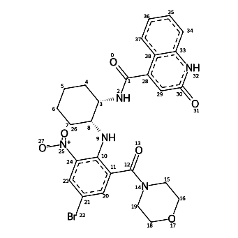 O=C(N[C@H]1CCCC[C@H]1Nc1c(C(=O)N2CCOCC2)cc(Br)cc1[N+](=O)[O-])c1cc(=O)[nH]c2ccccc12